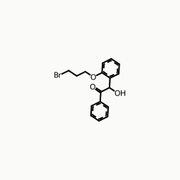 O=C(c1ccccc1)C(O)c1ccccc1OCCCBr